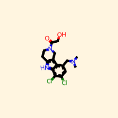 CN(C)Cc1cc(Cl)c(Cl)c2[nH]c3c(c12)CN(C(=O)CO)CC3